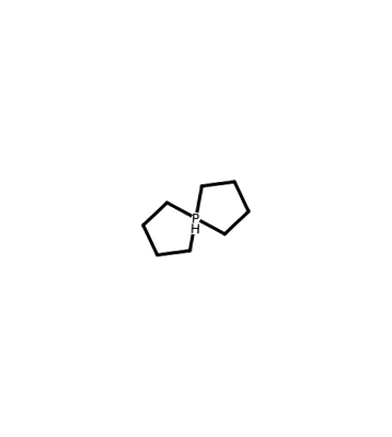 C1CC[PH]2(C1)CCCC2